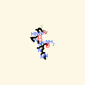 Cc1ncc(-c2cc3c(C(N)=O)nn(CC(=O)N4CC5CC5C4C(=O)Nc4nc(Br)c(F)cc4C)c3c(C)n2)cn1